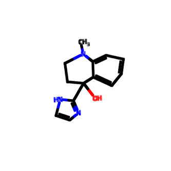 CN1CCC(O)(c2ncc[nH]2)c2ccccc21